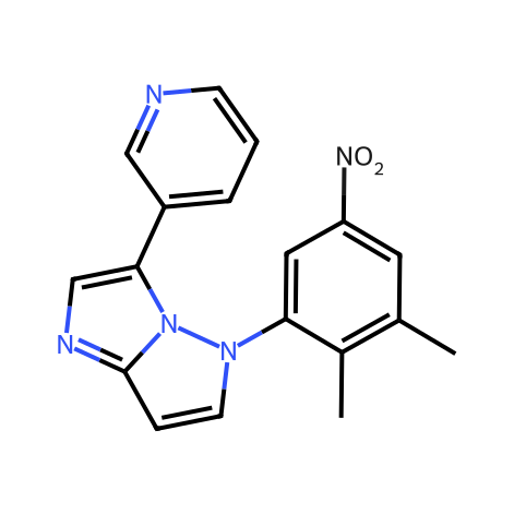 Cc1cc([N+](=O)[O-])cc(-n2ccc3ncc(-c4cccnc4)n32)c1C